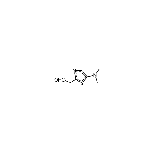 CN(C)c1cnc(CC=O)s1